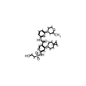 C[C@@H]1CN(c2cccc(NC(=O)c3cnc(NS(=O)(=O)CCO)cc3N3CCC4(CC3)CC4)n2)CCO1